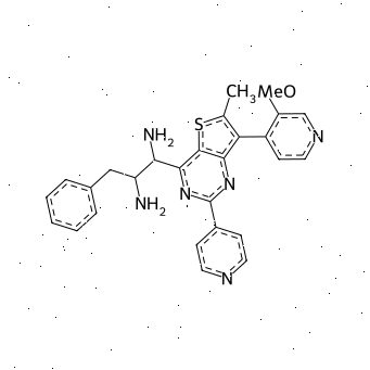 COc1cnccc1-c1c(C)sc2c(C(N)C(N)Cc3ccccc3)nc(-c3ccncc3)nc12